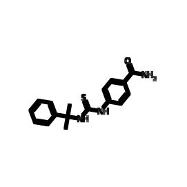 CC(C)(NC(=S)Nc1ccc(C(N)=O)cc1)c1ccccc1